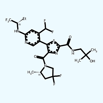 CC[C@H](Nc1cc(C(F)F)c(-c2sc(C(=O)NCC(C)(C)O)nc2C(=O)N2CC(F)(F)C[C@@H]2C)cn1)C(F)(F)F